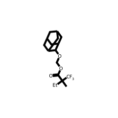 CCC(C)(C(=O)OCOC1C2CC3CC(C2)CC1C3)C(F)(F)F